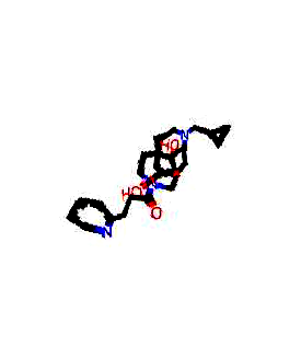 O=C(CCc1ccccn1)N1CCC23CCN(CC4CC4)C(Cc4ccc(O)cc42)C3(O)CC1